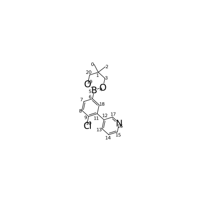 CC1(C)COB(c2ccc(Cl)c(-c3cccnc3)c2)OC1